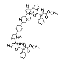 COC(=O)N[C@@H](C(=O)N[C@@H](C)c1ncc(-c2ccc(C3=CNC(C4=CNC([C@@H]5CCCN5C(=O)[C@H](NC(=O)OC)c5ccccc5)N4)C=N3)cc2)[nH]1)c1ccccc1